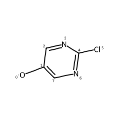 [O]c1cnc(Cl)nc1